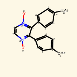 COc1ccc(-c2c(-c3ccc(OC)cc3)[n+]([O-])cc[n+]2[O-])cc1